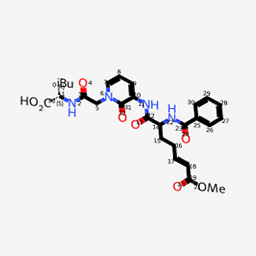 CC[C@@H](C)[C@H](NC(=O)Cn1cccc(NC(=O)C(CCC=CC(=O)OC)NC(=O)c2ccccc2)c1=O)C(=O)O